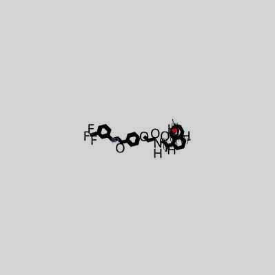 C[C@H]1[C@@H](NC(=O)COc2ccc(C(=O)/C=C/c3cccc(C(F)(F)F)c3)cc2)O[C@@H]2O[C@]3(C)CC[C@H]4[C@H](C)CC[C@@H]1[C@@]24OO3